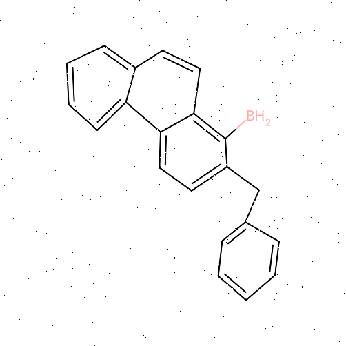 Bc1c(Cc2ccccc2)ccc2c1ccc1ccccc12